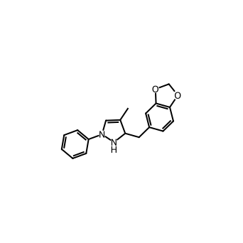 CC1=CN(c2ccccc2)NC1Cc1ccc2c(c1)OCO2